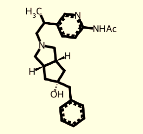 CC(=O)Nc1ccc(C(C)CN2C[C@@H]3C[C@@](O)(Cc4ccccc4)C[C@@H]3C2)cn1